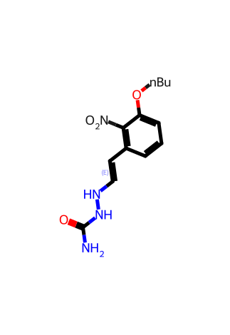 CCCCOc1cccc(/C=C/NNC(N)=O)c1[N+](=O)[O-]